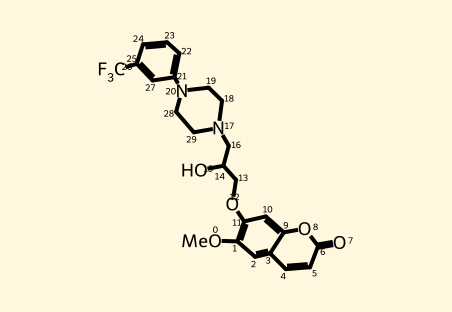 COc1cc2ccc(=O)oc2cc1OCC(O)CN1CCN(c2cccc(C(F)(F)F)c2)CC1